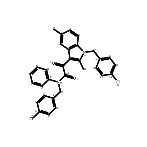 Cc1ccc2c(c1)c(C(=O)C(=O)N(Cc1ccc(Cl)cc1)c1ccccc1)c(C)n2Cc1ccc(Cl)cc1